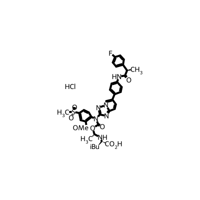 CC[C@H](C)[C@H](N[C@H](C)OC(=O)N(c1nc2ccc(-c3ccc(NC(=O)[C@H](C)c4ccc(F)cc4)cc3)cn2n1)c1ccc(S(C)(=O)=O)cc1OC)C(=O)O.Cl